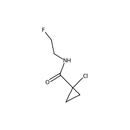 O=C(NCCF)C1(Cl)CC1